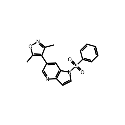 Cc1noc(C)c1-c1cnc2ccn(S(=O)(=O)c3ccccc3)c2c1